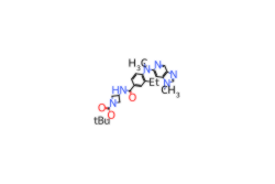 CCc1cc(C(=O)NC2CN(C(=O)OC(C)(C)C)C2)ccc1N(C)c1cc2c(cn1)ncn2C